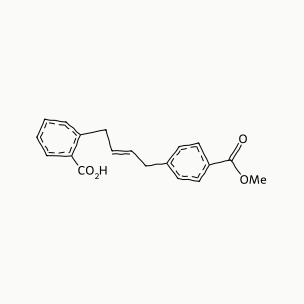 COC(=O)c1ccc(CC=CCc2ccccc2C(=O)O)cc1